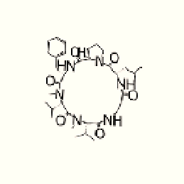 CC(C)C[C@@H]1NC(=O)CCNC(=O)[C@H](C(C)C)N(C)C(=O)[C@H](C(C)C)N(C)C(=O)[C@H](Cc2ccccc2)NC(=O)[C@@H]2CCCN2C1=O